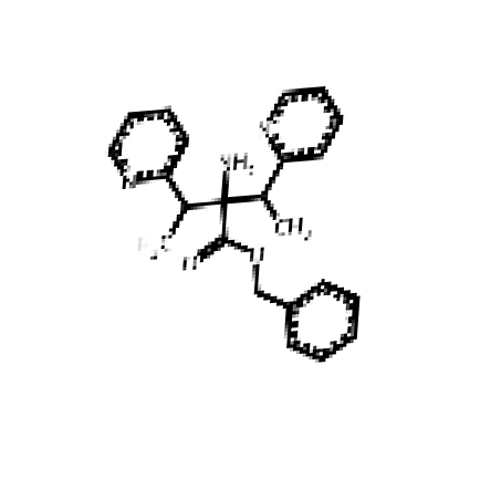 CC(c1ccccn1)C(N)(C(=O)OCc1ccccc1)C(C)c1ccccn1